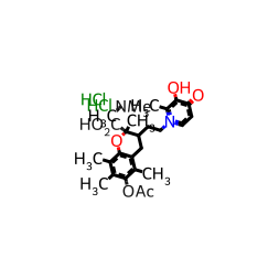 CC(=O)Oc1c(C)c(C)c2c(c1C)CC(CCn1ccc(=O)c(O)c1C)C(C)(C(=O)O)O2.CNC.Cl.Cl